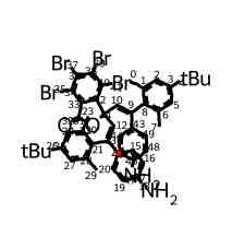 Cc1cc(C(C)(C)C)cc(C)c1C(=CC1(C=C(c2ccc(N)cc2)c2c(C)cc(C(C)(C)C)cc2C)OC(=O)c2c(Br)c(Br)c(Br)c(Br)c21)c1ccc(N)cc1